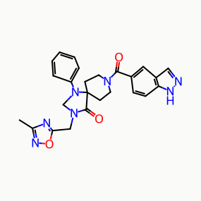 Cc1noc(CN2CN(c3ccccc3)C3(CCN(C(=O)c4ccc5[nH]ncc5c4)CC3)C2=O)n1